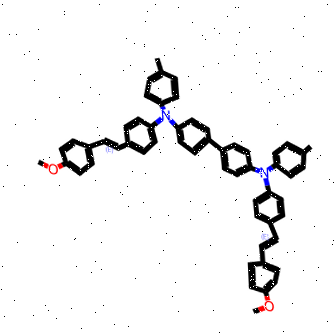 COc1ccc(/C=C/c2ccc(N(c3ccc(C)cc3)c3ccc(-c4ccc(N(c5ccc(C)cc5)c5ccc(/C=C/c6ccc(OC)cc6)cc5)cc4)cc3)cc2)cc1